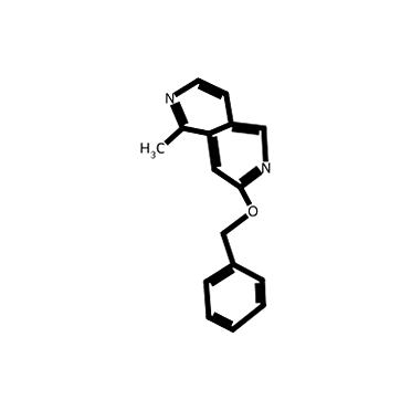 Cc1nccc2cnc(OCc3ccccc3)cc12